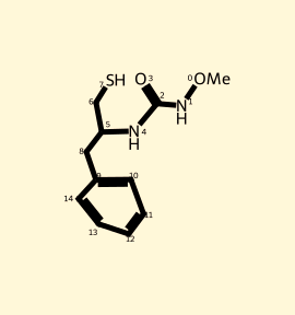 CONC(=O)NC(CS)Cc1ccccc1